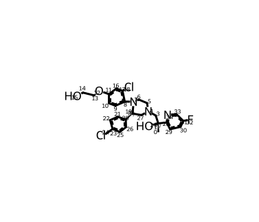 C[C@@](O)(CN1CCN(c2ccc(OCCO)cc2Cl)[C@H](c2ccc(Cl)cc2)C1)c1ccc(F)cn1